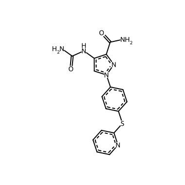 NC(=O)Nc1cn(-c2ccc(Sc3ccccn3)cc2)nc1C(N)=O